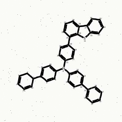 C1=CCC(c2ccc(N(c3ccc(-c4ccccc4)cc3)c3ccc(-c4cccc5c4sc4ccccc45)cc3)cc2)C=C1